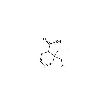 CCC1(CCl)C=CC=CC1C(=O)O